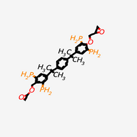 CC(C)(c1ccc(C(C)(C)c2cc(P)c(OCC3CO3)c(P)c2)cc1)c1cc(P)c(COC2CO2)c(P)c1